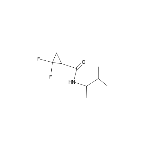 CC(C)C(C)NC(=O)C1CC1(F)F